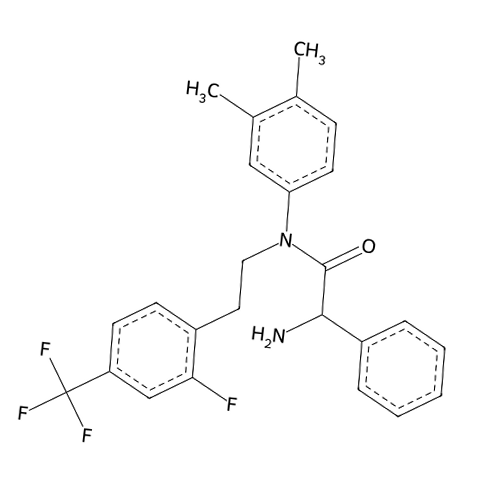 Cc1ccc(N(CCc2ccc(C(F)(F)F)cc2F)C(=O)C(N)c2ccccc2)cc1C